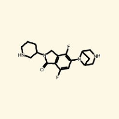 O=C1c2c(F)cc(N3C4CNCC3C4)c(F)c2CN1C1CCCNC1